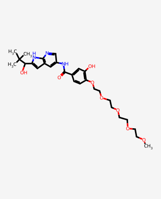 COCCOCCOCCOCCOc1ccc(C(=O)Nc2cnc3[nH]c(C(O)C(C)(C)C)cc3c2)cc1O